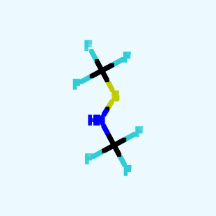 FC(F)(F)NSC(F)(F)F